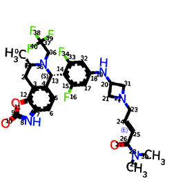 C[C@@H]1Cc2c(ccc3[nH]c(=O)oc23)[C@@H](c2c(F)cc(NC3CN(C/C=C/C(=O)N(C)C)C3)cc2F)N1CC(F)(F)F